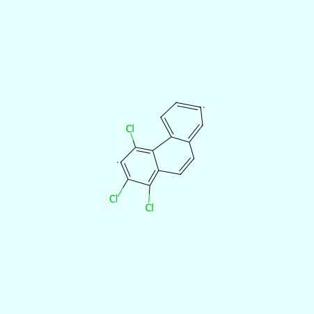 Clc1[c]c(Cl)c2c(ccc3c[c]ccc32)c1Cl